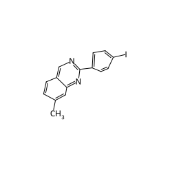 Cc1ccc2cnc(-c3ccc(I)cc3)nc2c1